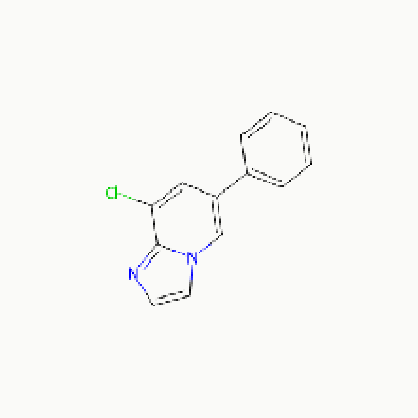 Clc1cc(-c2ccccc2)cn2ccnc12